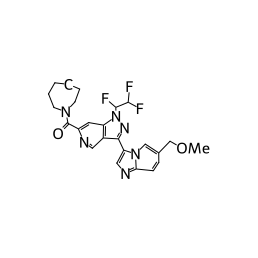 COCc1ccc2ncc(-c3nn(C(F)C(F)F)c4cc(C(=O)N5CCCCCC5)ncc34)n2c1